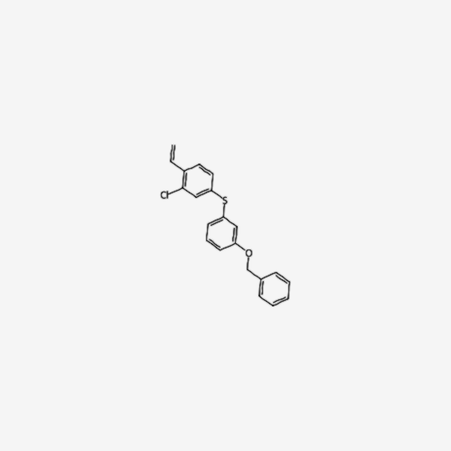 C=Cc1ccc(Sc2cccc(OCc3ccccc3)c2)cc1Cl